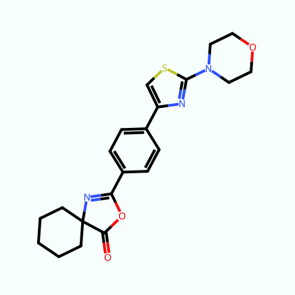 O=C1OC(c2ccc(-c3csc(N4CCOCC4)n3)cc2)=NC12CCCCC2